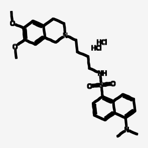 COc1cc2c(cc1OC)CN(CCCCNS(=O)(=O)c1cccc3c(N(C)C)cccc13)CC2.Cl.Cl